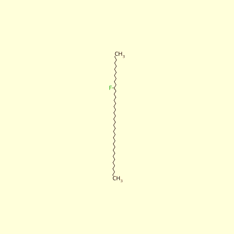 CCCCCCCCCCCCCCCCCCCCCCCCCCCCC[C](F)CCCCCCCCCCC